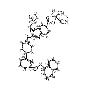 CC(C)(C)OC(=O)c1ccc2nc(CN3CCC(c4cccc(OCc5cncc6ccccc56)n4)CC3)n(C[C@@H]3CCO3)c2c1